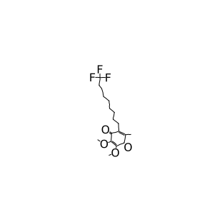 COC1=C(OC)C(=O)C(CCCCCCCCC(F)(F)F)=C(C)C1=O